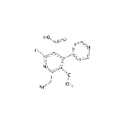 [2H]Cc1nc(Cl)c(C(=O)O)c(-c2ccncc2)c1OC